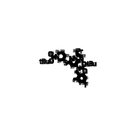 Cc1cc(F)ccc1CN(C(=O)OC(C)(C)C)c1cc(SC2CCCN(C(=O)OC(C)(C)C)C2)nn2c(C(C)C)cnc12